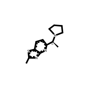 Cc1nc2nc([C@H](C)N3CCCC3)ccc2s1